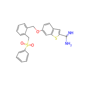 N=C(N)c1cc2ccc(OCc3ccccc3CS(=O)(=O)c3ccccc3)cc2s1